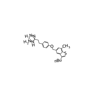 CCCCc1csc2c(C)cc(COc3ccc(CC/C(=N/N)NN)cc3)cc12